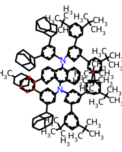 CC1CC2CC(C1)CC(c1cc(C3C4CC5CC(C4)CC3C5)cc(N(c3cc(-c4cc(C(C)(C)C)cc(C(C)(C)C)c4)cc(-c4cc(C(C)(C)C)cc(C(C)(C)C)c4)c3)c3c4ccccc4c(N(c4cc(-c5cc(C(C)(C)C)cc(C(C)(C)C)c5)cc(-c5cc(C(C)(C)C)cc(C(C)(C)C)c5)c4)c4cc(C5C6CC7CC(C6)CC5C7)cc(C5C6CC7CC(C6)CC5C7)c4)c4ccc(-c5ccccc5)cc34)c1)C2